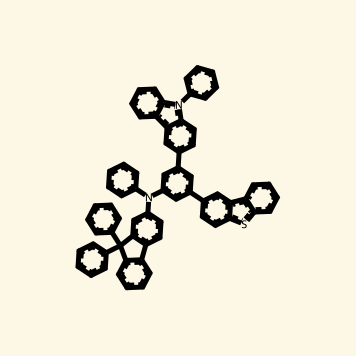 c1ccc(N(c2cc(-c3ccc4sc5ccccc5c4c3)cc(-c3ccc4c(c3)c3ccccc3n4-c3ccccc3)c2)c2ccc3c(c2)C(c2ccccc2)(c2ccccc2)c2ccccc2-3)cc1